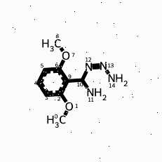 COc1cccc(OC)c1C(N)/N=N\N